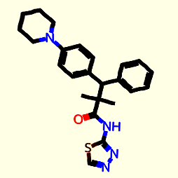 CC(C)(C(=O)Nc1nncs1)C(c1ccccc1)c1ccc(N2CCCCC2)cc1